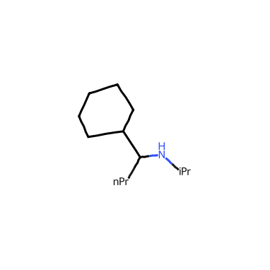 [CH2]CCC(NC(C)C)C1CCCCC1